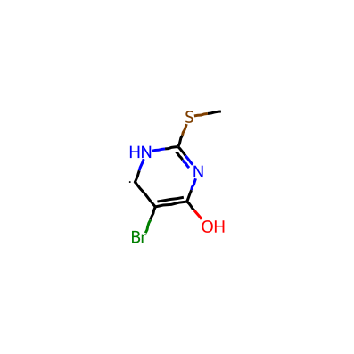 CSC1=NC(O)=C(Br)[CH]N1